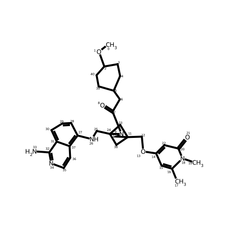 COC1CCC(CC(=O)N2CC3(COc4cc(C)n(C)c(=O)c4)CC2(CNc2cccc4c(N)nccc24)C3)CC1